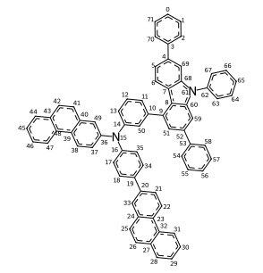 c1ccc(-c2ccc3c4c(-c5cccc(N(c6ccc(-c7ccc8c(ccc9ccccc98)c7)cc6)c6ccc7c(ccc8ccccc87)c6)c5)cc(-c5ccccc5)cc4n(-c4ccccc4)c3c2)cc1